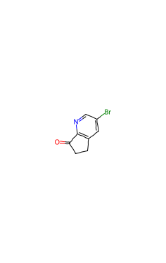 O=C1CCc2cc(Br)cnc21